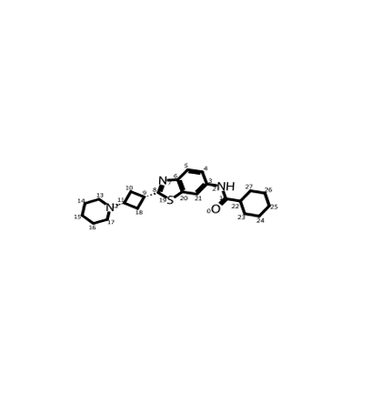 O=C(Nc1ccc2nc([C@H]3C[C@@H](N4CCCCC4)C3)sc2c1)C1CCCCC1